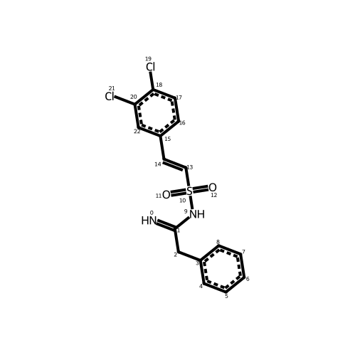 N=C(Cc1ccccc1)NS(=O)(=O)C=Cc1ccc(Cl)c(Cl)c1